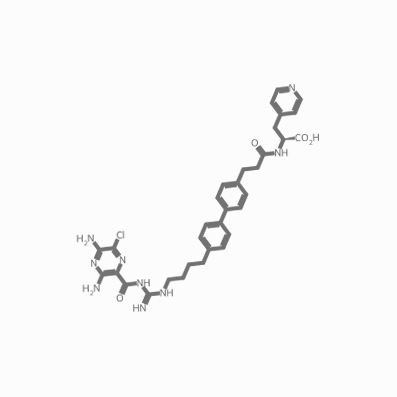 N=C(NCCCCc1ccc(-c2ccc(CCC(=O)N[C@@H](Cc3ccncc3)C(=O)O)cc2)cc1)NC(=O)c1nc(Cl)c(N)nc1N